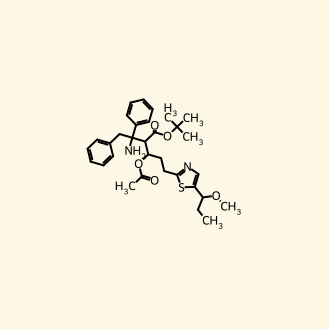 CCC(OC)c1cnc(CCC(OC(C)=O)C(C(=O)OC(C)(C)C)C(N)(Cc2ccccc2)c2ccccc2)s1